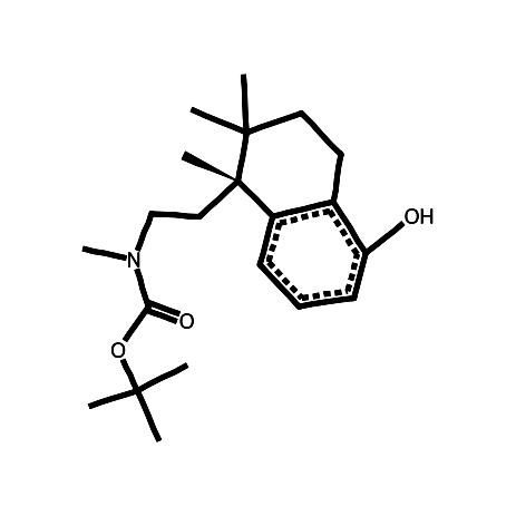 CN(CC[C@@]1(C)c2cccc(O)c2CCC1(C)C)C(=O)OC(C)(C)C